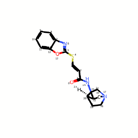 O=C(/C=C/Sc1nc2ccccc2o1)N[C@H]1CN2CCC1CC2